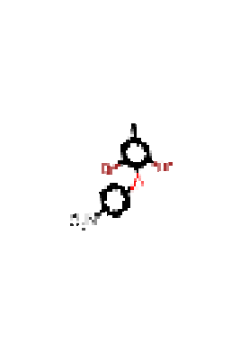 Cc1cc(Br)c(Oc2ccc([N+](=O)[O-])cc2)c(Br)c1